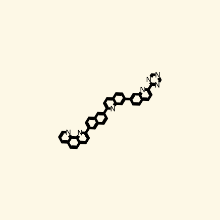 c1cnc2c(c1)ccc1ccc(-c3ccc4cc(-c5ccc6ccc(-c7ccc8ccc(-c9ncncn9)nc8c7)cc6n5)ccc4c3)nc12